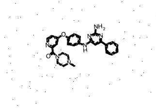 CN1CCN(C(=O)c2cc(Oc3ccc(Nc4cc(-c5ccccc5)nc(N)n4)cc3)ccn2)CC1